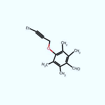 CCC#CCOc1c(C)c(C)c(C=O)c(C)c1C